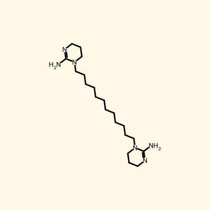 NC1=NCCCN1CCCCCCCCCCCCN1CCCN=C1N